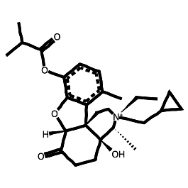 CC[N@+]1(CC2CC2)CC[C@]23c4c(C)ccc(OC(=O)C(C)C)c4O[C@H]2C(=O)CC[C@@]3(O)[C@H]1C